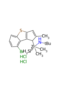 CC1=Cc2sc3cccc(Br)c3c2[CH]1[Zr]([CH3])([CH3])(=[SiH2])[NH]C(C)(C)C.Cl.Cl